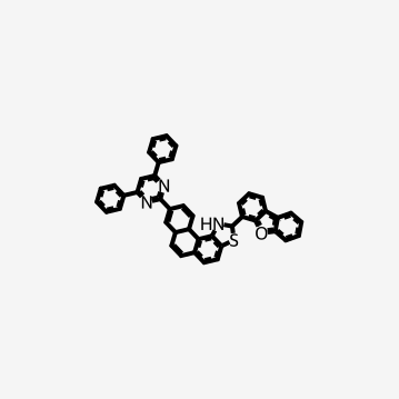 C1=CC2c3c(ccc4c3NC(c3cccc5c3oc3ccccc35)S4)C=CC2C=C1c1nc(-c2ccccc2)cc(-c2ccccc2)n1